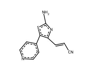 N#CC=Cc1nc(N)sc1-c1ccncc1